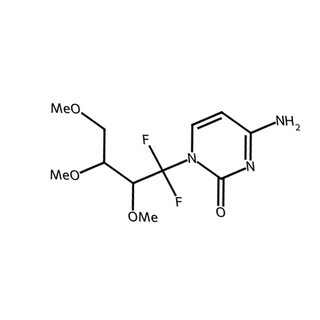 COCC(OC)C(OC)C(F)(F)n1ccc(N)nc1=O